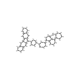 c1cc(-c2ccc(-n3c4cc5ccccc5cc4c4cc5ccccc5cc43)cc2)cc(-c2ccc3c4c(cccc24)-c2ccccc2O3)c1